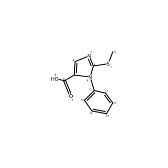 CSc1ncc(C(=O)O)n1-c1ccccc1